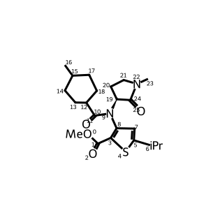 COC(=O)c1sc(C(C)C)cc1N(C(=O)C1CCC(C)CC1)[C@H]1CCN(C)C1=O